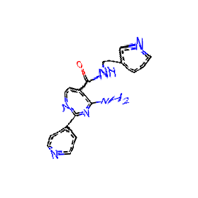 Nc1nc(-c2ccncc2)ncc1C(=O)NCc1cccnc1